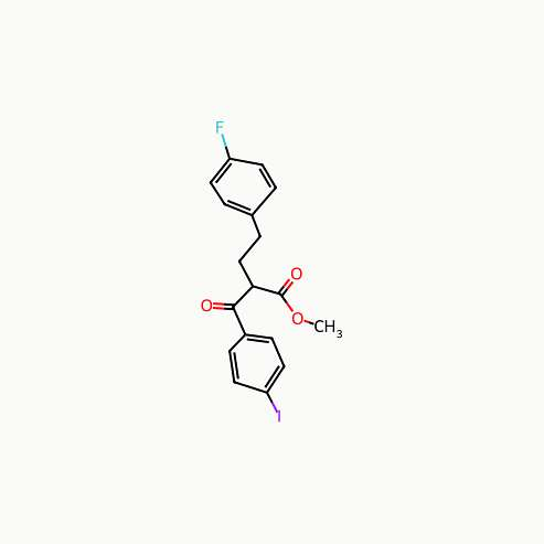 COC(=O)C(CCc1ccc(F)cc1)C(=O)c1ccc(I)cc1